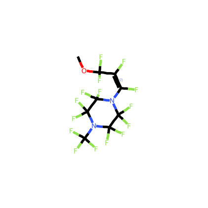 COC(F)(F)/C(F)=C(/F)N1C(F)(F)C(F)(F)N(C(F)(F)F)C(F)(F)C1(F)F